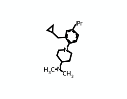 CC(C)c1ccc(N2CCC(N(C)C)CC2)c(CC2CC2)c1